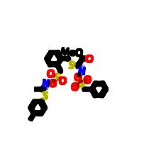 COC(=O)/C(=N/OS(=O)(=O)Cc1ccccc1)SCc1ccccc1CS(=O)(=O)O/N=C(/C)Sc1ccc(C)cc1